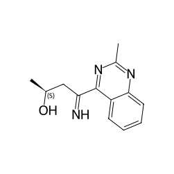 Cc1nc(C(=N)C[C@H](C)O)c2ccccc2n1